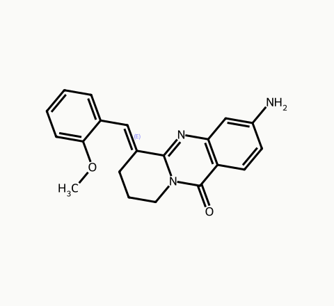 COc1ccccc1/C=C1\CCCn2c1nc1cc(N)ccc1c2=O